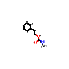 [CH2]CCNC(=O)OCCc1ccccc1